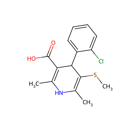 CSC1=C(C)NC(C)=C(C(=O)O)C1c1ccccc1Cl